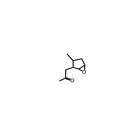 CC(=O)CC1C(C)CC2OC21